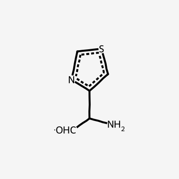 NC([C]=O)c1cscn1